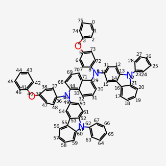 c1ccc(Oc2ccc(N(c3ccc4c(c3)c3ccccc3n4-c3ccccc3)c3cccc4c(N(c5ccc(Oc6ccccc6)cc5)c5ccc6c(c5)c5ccccc5n6-c5ccccc5)cccc34)cc2)cc1